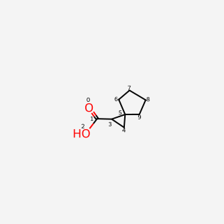 O=C(O)C1CC12CCCC2